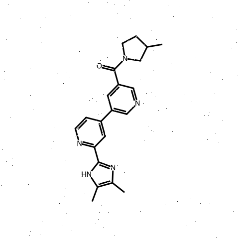 Cc1nc(-c2cc(-c3cncc(C(=O)N4CCC(C)C4)c3)ccn2)[nH]c1C